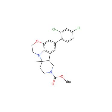 CC(C)(C)OC(=O)N1CCC2(C)C(C1)c1cc(-c3ccc(Cl)cc3Cl)cc3c1N2CCO3